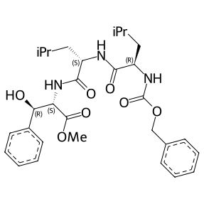 COC(=O)[C@@H](NC(=O)[C@H](CC(C)C)NC(=O)[C@@H](CC(C)C)NC(=O)OCc1ccccc1)[C@H](O)c1ccccc1